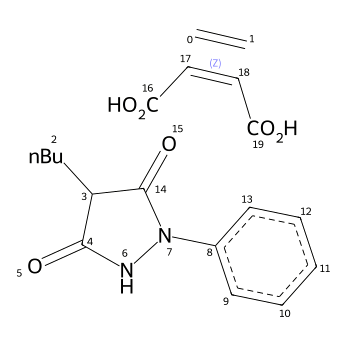 C=C.CCCCC1C(=O)NN(c2ccccc2)C1=O.O=C(O)/C=C\C(=O)O